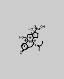 COC(C)=O.C[C@]12C=CC(=O)C=C1CC[C@@H]1[C@@H]2C(O)C[C@@]2(C)[C@H]1CC[C@]2(O)C(=O)CO